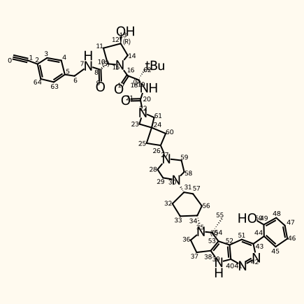 C#Cc1ccc(CNC(=O)[C@@H]2C[C@@H](O)CN2C(=O)[C@@H](NC(=O)N2CC3(CC(N4CCN([C@H]5CC[C@@H](N6CCc7[nH]c8nnc(-c9ccccc9O)cc8c7[C@H]6C)CC5)CC4)C3)C2)C(C)(C)C)cc1